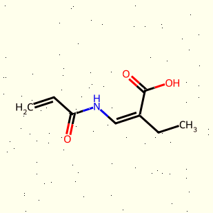 C=CC(=O)NC=C(CC)C(=O)O